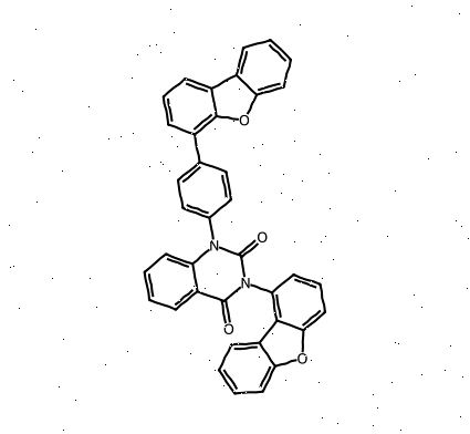 O=c1c2ccccc2n(-c2ccc(-c3cccc4c3oc3ccccc34)cc2)c(=O)n1-c1cccc2oc3ccccc3c12